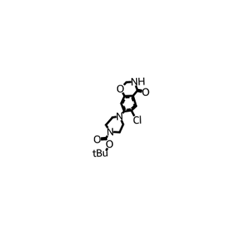 CC(C)(C)OC(=O)N1CCN(c2cc3c(cc2Cl)C(=O)NCO3)CC1